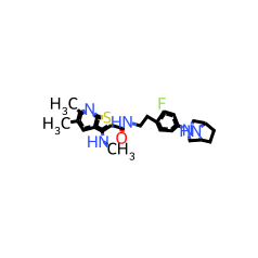 CNc1c(C(=O)NCCc2ccc(N3CC4CCC(C3)N4)cc2F)sc2nc(C)c(C)cc12